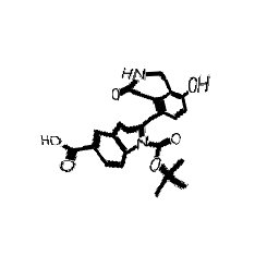 CC(C)(C)OC(=O)n1c(-c2ccc(O)c3c2C(=O)NC3)cc2cc(C(=O)O)ccc21